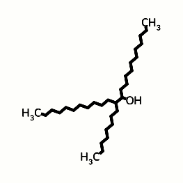 CCCCCCCCCCCC(O)C(CCCCCCCC)CCCCCCCCCCC